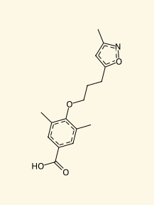 Cc1cc(CCCOc2c(C)cc(C(=O)O)cc2C)on1